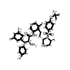 C[C@H]1CNC[C@H](CCc2c(F)cncc2NC(=O)[C@@H](N)[C@@H](c2ccc(F)cc2)c2cc(F)cc(F)c2)N1S(=O)(=O)c1ccc(OC(F)(F)F)cc1